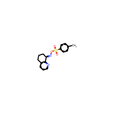 Cc1ccc(S(=O)(=O)O/N=C2\CCCc3cccnc32)cc1